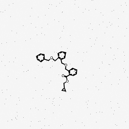 O=C(OCC1CC1)c1ccccc1COCc1ccccc1COCc1ccccc1